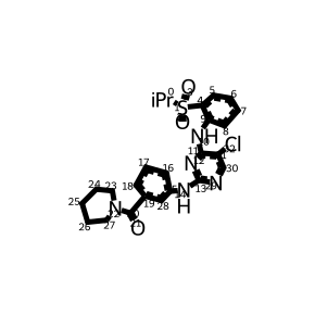 CC(C)S(=O)(=O)c1ccccc1Nc1nc(Nc2cccc(C(=O)N3CCCCC3)c2)ncc1Cl